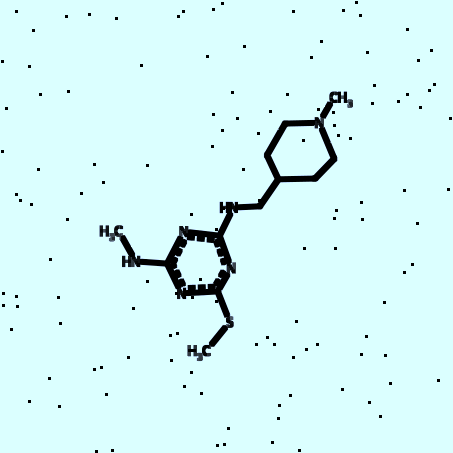 CNc1nc(NCC2CCN(C)CC2)nc(SC)n1